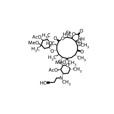 C#CCCN(C)[C@H]1C[C@@H](C)O[C@@H](O[C@@H]2[C@@H](C)[C@H](O[C@@H]3C[C@@](C)(OC)[C@@H](OC(C)=O)[C@H](C)O3)[C@@H](C)C(=O)O[C@H](CC)[C@@]3(C)OC(=O)N[C@@H]3[C@@H](C)C(=O)[C@H](C)C[C@@]2(C)OC)[C@@H]1OC(C)=O